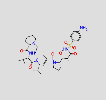 CO[C@H]([C@@H](C)C(=O)NS(=O)(=O)c1ccc(N)cc1)[C@@H]1CCCN1C(=O)C(C)=C[C@H](C(C)C)N(C)C(=O)[C@@H](NC(=O)[C@@H]1CCCCN1C(C)C)C(C)(C)C